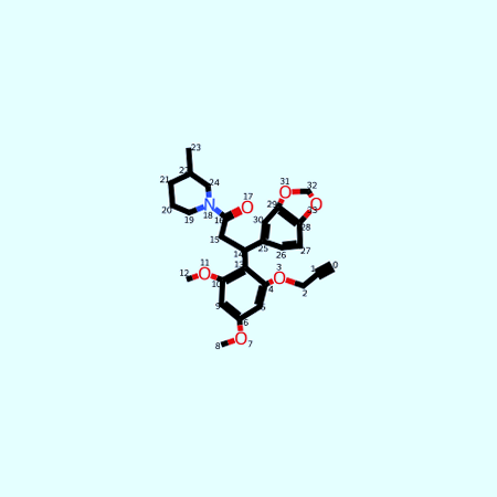 C#CCOc1cc(OC)cc(OC)c1C(CC(=O)N1CCCC(C)C1)c1ccc2c(c1)OCO2